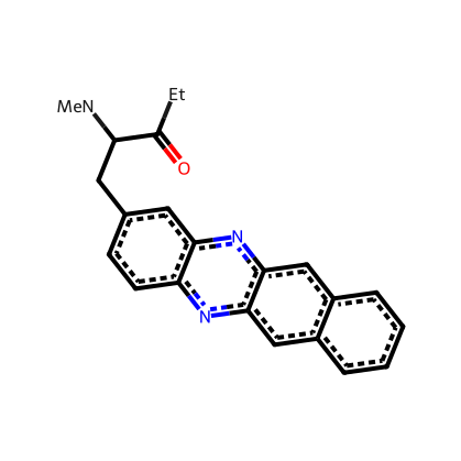 CCC(=O)C(Cc1ccc2nc3cc4ccccc4cc3nc2c1)NC